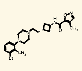 CCc1cccc(N2CCN(CC[C@H]3C[C@H](NC(=O)c4oncc4C)C3)CC2)c1C